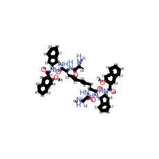 CN[C@@H](C)C(=O)N[C@@H](CC#CC#CC[C@H](NC(=O)[C@H](C)NC)C(=O)N[C@H]1c2ccccc2C[C@@H]1NC(=O)c1cc2ccccc2cc1OC)C(=O)N[C@H]1c2ccccc2C[C@@H]1NC(=O)c1cc2ccccc2cc1OC